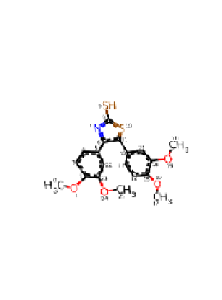 COc1ccc(-c2nc(S)sc2-c2ccc(OC)c(OC)c2)cc1OC